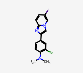 CN(C)c1ccc(-c2cn3cc(I)ccc3n2)cc1Br